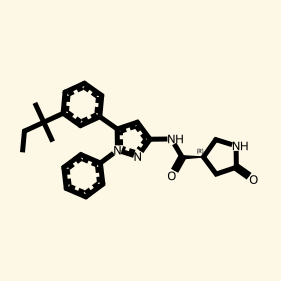 CCC(C)(C)c1cccc(-c2cc(NC(=O)[C@H]3CNC(=O)C3)nn2-c2ccccc2)c1